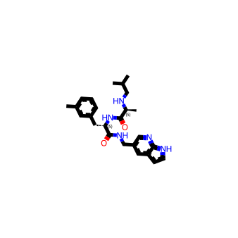 Cc1cccc(C[C@H](NC(=O)[C@H](C)NCC(C)C)C(=O)NCc2cnc3[nH]ccc3c2)c1